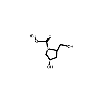 CC(C)(C)OC(=O)N1C[C@H](O)CC1CO